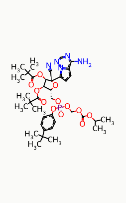 CC(C)OC(=O)OCOP(=O)(OC[C@H]1O[C@@](C#N)(c2ccc3c(N)ncnn23)[C@H](OC(=O)C(C)(C)C)[C@@H]1OC(=O)C(C)(C)C)Oc1ccc(C(C)(C)C)cc1